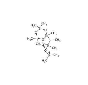 CC([Si](C)(C)O[SiH](C)C)[Si]1(C)O[Si](C)(C)O[Si](C)(C)O1